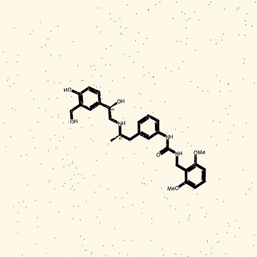 COc1cccc(OC)c1CNC(=O)Nc1cccc(C[C@@H](C)NC[C@H](O)c2ccc(O)c(CO)c2)c1